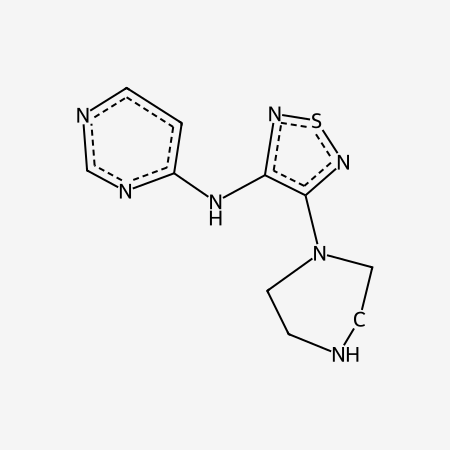 c1cc(Nc2nsnc2N2CCNCC2)ncn1